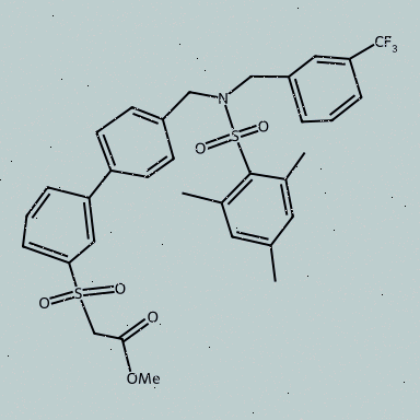 COC(=O)CS(=O)(=O)c1cccc(-c2ccc(CN(Cc3cccc(C(F)(F)F)c3)S(=O)(=O)c3c(C)cc(C)cc3C)cc2)c1